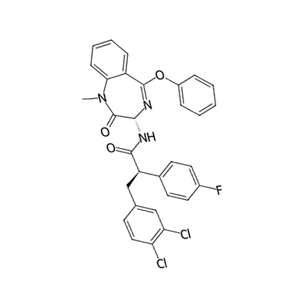 CN1C(=O)[C@@H](NC(=O)[C@H](Cc2ccc(Cl)c(Cl)c2)c2ccc(F)cc2)N=C(Oc2ccccc2)c2ccccc21